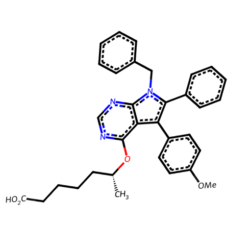 COc1ccc(-c2c(-c3ccccc3)n(Cc3ccccc3)c3ncnc(O[C@H](C)CCCCC(=O)O)c23)cc1